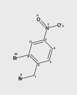 O=[N+]([O-])c1ccc(CBr)c(Br)c1